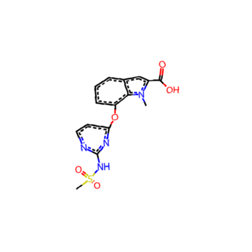 Cn1c(C(=O)O)cc2cccc(Oc3ccnc(NS(C)(=O)=O)n3)c21